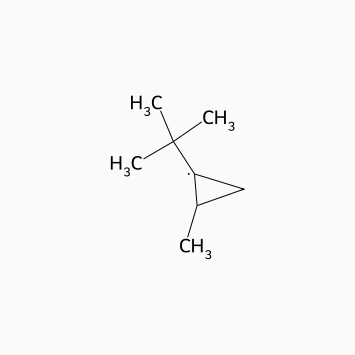 CC1C[C]1C(C)(C)C